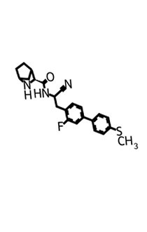 CSc1ccc(-c2ccc(CC(C#N)NC(=O)[C@H]3NC4CCC3C4)c(F)c2)cc1